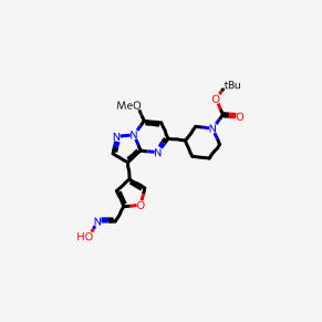 COc1cc(C2CCCN(C(=O)OC(C)(C)C)C2)nc2c(-c3coc(C=NO)c3)cnn12